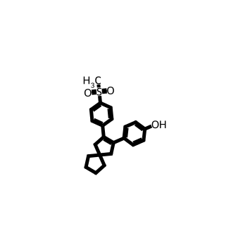 CS(=O)(=O)c1ccc(C2=C(c3ccc(O)cc3)CC3(CCCC3)C2)cc1